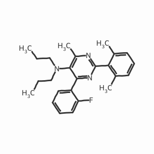 CCCN(CCC)c1c(C)nc(-c2c(C)cccc2C)nc1-c1ccccc1F